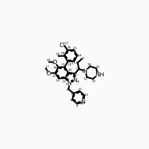 CCC(c1nn(Cc2ccncc2)c2cc(OC)c(OC)c(-c3cccc(Cl)c3C)c12)N1CCNCC1